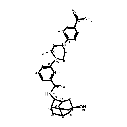 C[C@@H]1CN(c2ccc(C(N)=O)cn2)CCN1c1cccc(C(=O)NC2C3CC4CC2CC(O)(C4)C3)n1